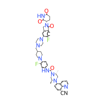 C[C@@H]1CN(c2ccc(C#N)c3ncccc23)[C@@H](C)CN1C(=O)Nc1ccc(N2CCC(CN3CCN(c4cc5c(cc4F)C(=O)N([C@H]4CCC(=O)NC4=O)C5)CC3)CC2)c(F)c1